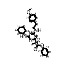 COc1ccc(CCNc2nc(NC3CCCCC3)nc([N+](C)(C)C(=O)OC3=CC[CH]C=C3)n2)cc1